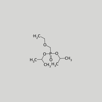 [CH2]COCP(=O)(OC(C)C)OC(C)C